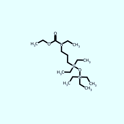 CCOC(=O)N(CC)CCC[Si](CC)(CC)O[Si](CC)(CC)CC